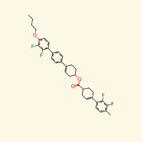 CCCCOc1ccc(-c2ccc(C3=CCC(OC(=O)C4CC=C(c5ccc(C)c(F)c5F)CC4)CC3)cc2)c(F)c1F